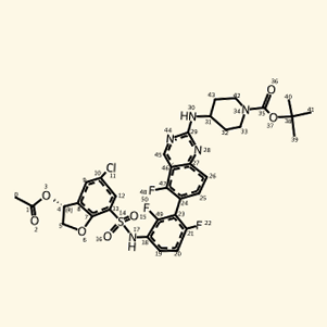 CC(=O)O[C@H]1COc2c1cc(Cl)cc2S(=O)(=O)Nc1ccc(F)c(-c2ccc3nc(NC4CCN(C(=O)OC(C)(C)C)CC4)ncc3c2F)c1F